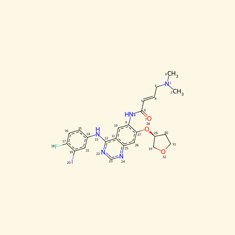 CN(C)C/C=C/C(=O)Nc1cc2c(Nc3ccc(F)c(I)c3)ncnc2cc1O[C@H]1CCOC1